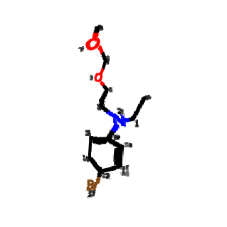 CCN(CCOCOC)c1ccc(Br)cc1